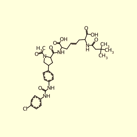 CC(=O)N1CC(c2ccc(NC(=O)Nc3ccc(Cl)cc3)cc2)CC1C(=O)NC(CC=CCC(NC(=O)CC(C)(C)C)C(=O)O)C(=O)O